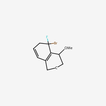 COC1CCCC2=C1C(F)(Br)CC=C2